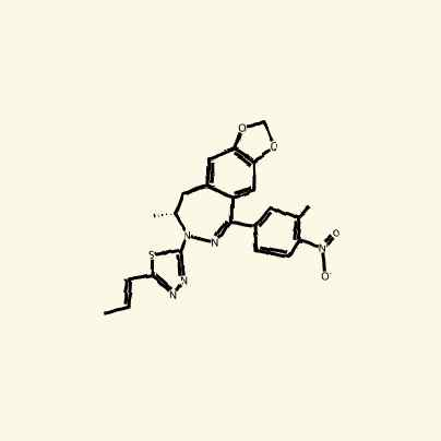 C/C=C/c1nnc(N2N=C(c3ccc([N+](=O)[O-])c(C)c3)c3cc4c(cc3C[C@H]2C)OCO4)s1